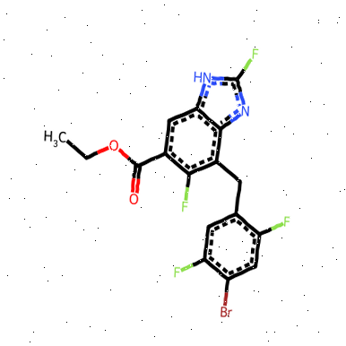 CCOC(=O)c1cc2[nH]c(F)nc2c(Cc2cc(F)c(Br)cc2F)c1F